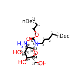 CCCCCCCCCCCCCCN(C(=O)OCCCCCCCCCCCC)[C@@H]1O[C@H](CO)[C@@H](O)[C@H](O)[C@H]1N